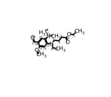 CCOC(=O)CCCN(CC)c1cc(OC)c(C=O)cc1N(C)C